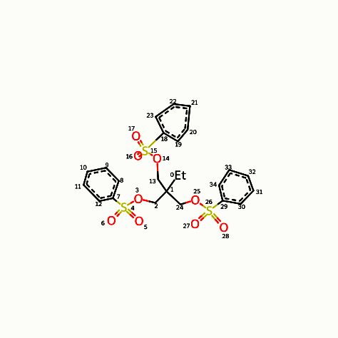 CCC(COS(=O)(=O)c1ccccc1)(COS(=O)(=O)c1ccccc1)COS(=O)(=O)c1ccccc1